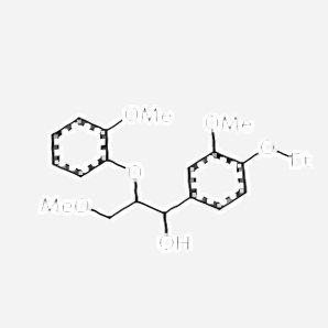 CCOc1ccc(C(O)C(COC)Oc2ccccc2OC)cc1OC